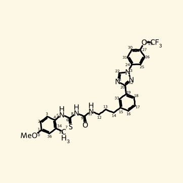 COc1ccc(NC(=S)NC(=O)NCCCc2cccc(-c3ncn(-c4ccc(OC(F)(F)F)cc4)n3)c2)c(C)c1